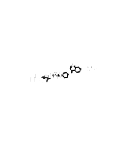 COc1ccc2c(Oc3ccc(N=NS(=O)(=O)NCC4COC(C)(C)O4)cc3)ccnc2c1